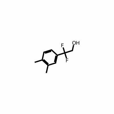 Cc1ccc(C(F)(F)CO)cc1C